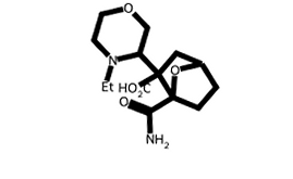 CCN1CCOCC1C1(C(=O)O)CC2CCC1(C(N)=O)O2